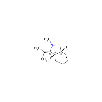 CC(C)[C@@H]1[C@H]2CCCC[C@H]2CN1C